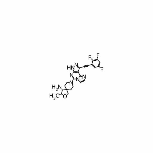 C[C@@H]1OCC2(CCN(c3nc4[nH]nc(C#Cc5cc(F)cc(F)c5F)c4c4nccn34)CC2)[C@@H]1N